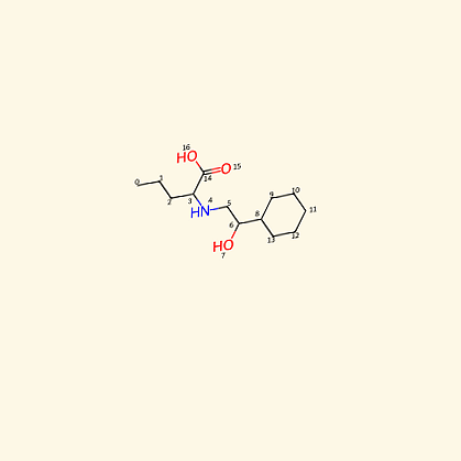 CCCC(NCC(O)C1CCCCC1)C(=O)O